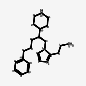 CCCc1nccn1CC(CCCc1ccccc1)C1CCNCC1